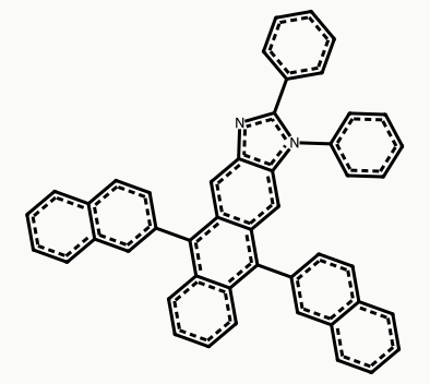 c1ccc(-c2nc3cc4c(-c5ccc6ccccc6c5)c5ccccc5c(-c5ccc6ccccc6c5)c4cc3n2-c2ccccc2)cc1